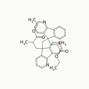 CCOC(=O)C(C)CC1(CC2(CC(C)C(=O)OCC)c3ccccc3-c3ncccc32)c2ccccc2-c2ncccc21